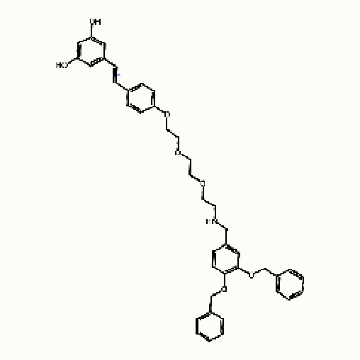 Oc1cc(O)cc(/C=C/c2ccc(OCCOCCOCCNCc3ccc(OCc4ccccc4)c(OCc4ccccc4)c3)cc2)c1